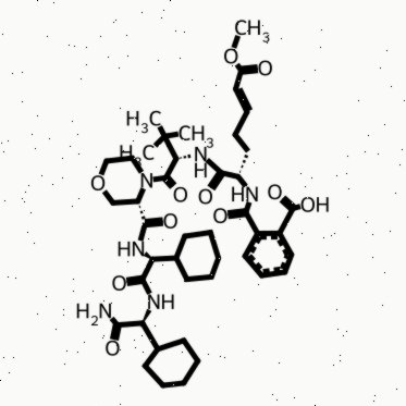 COC(=O)/C=C/CC[C@H](NC(=O)c1ccccc1C(=O)O)C(=O)N[C@H](C(=O)N1CCOC[C@H]1C(=O)N[C@H](C(=O)N[C@H](C(N)=O)C1CCCCC1)C1CCCCC1)C(C)(C)C